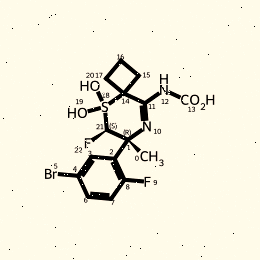 C[C@]1(c2cc(Br)ccc2F)N=C(NC(=O)O)C2(CCC2)S(O)(O)[C@@H]1F